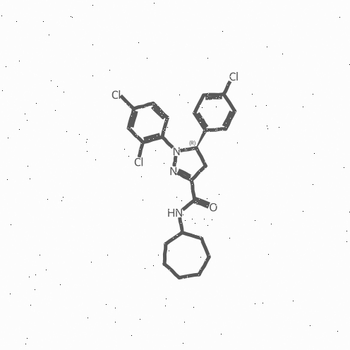 O=C(NC1CCCCCC1)C1=NN(c2ccc(Cl)cc2Cl)[C@@H](c2ccc(Cl)cc2)C1